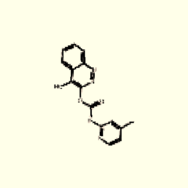 Cc1ccnc(NC(=O)Oc2nnc3ccccc3c2O)c1